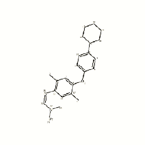 Cc1cc(Oc2ccc(C3CCCCC3)cc2)c(C)cc1/N=C\N(C)C(C)C